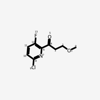 COCCC(=O)c1nc(Cl)ccc1F